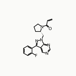 C=CC(=O)N1CCC[C@H]1Cn1nc(-c2ccccc2F)c2cncnc21